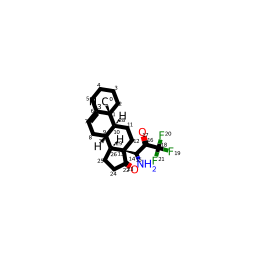 C[C@]12CCCCC1=CC[C@@H]1[C@@H]2CC[C@]2(C(N)C(=O)C(F)(F)F)C(=O)CC[C@@H]12